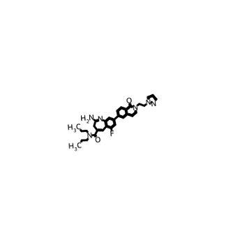 CCCN(CCC)C(=O)C1=Cc2c(F)cc(-c3ccc4c(=O)n(CCn5cccn5)ccc4c3)cc2N=C(N)C1